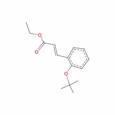 CCOC(=O)C=Cc1ccccc1OC(C)(C)C